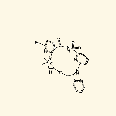 CC1(C)C[C@@H]2CC[C@@H](c3ccccn3)Nc3cccc(n3)S(=O)(=O)NC(=O)c3ccc(Br)nc3N1C2